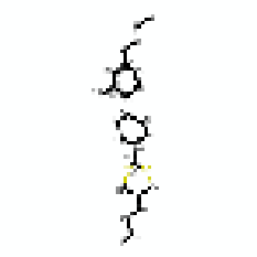 CCCCc1ccc([C@H]2CC[C@H](C3SCC(CCCC)CS3)CC2)c(C)c1